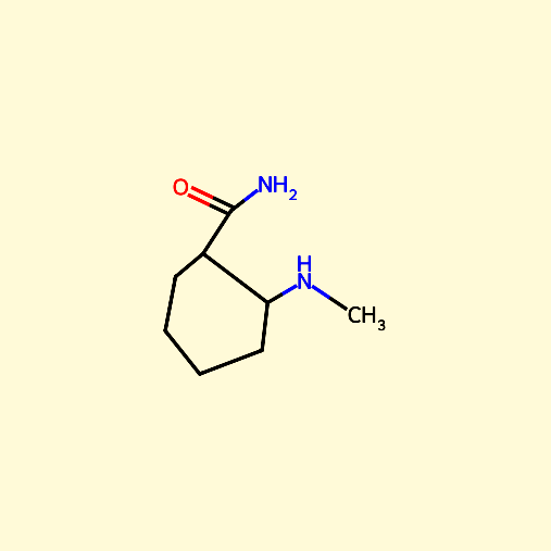 CNC1CCCCC1C(N)=O